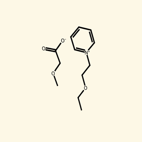 CCOCC[n+]1ccccc1.COCC(=O)[O-]